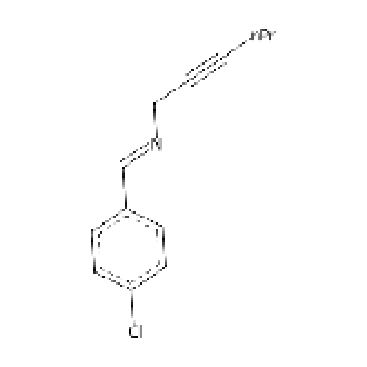 CCCC#CC/N=C/c1ccc(Cl)cc1